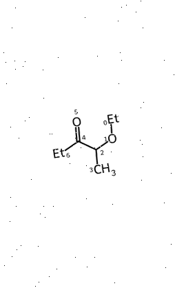 CCOC(C)C(=O)CC